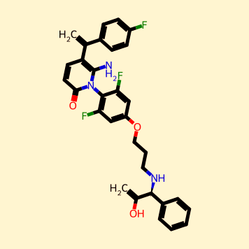 C=C(c1ccc(F)cc1)c1ccc(=O)n(-c2c(F)cc(OCCCN[C@H](C(=C)O)c3ccccc3)cc2F)c1N